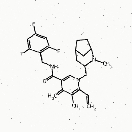 C=CC1=C(C)C(=C)C(C(=O)NCc2c(F)cc(F)cc2F)=CN1CC1CC2CCC(C2)N1C